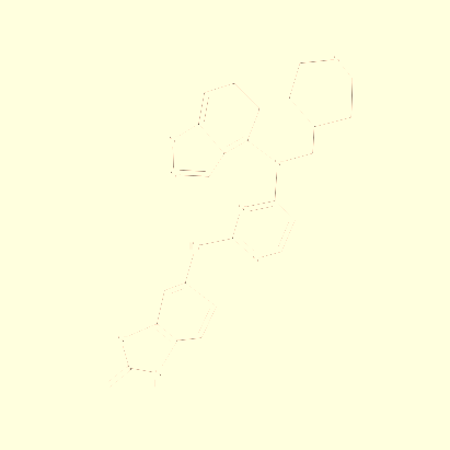 O=c1[nH]c2ccc(Nc3nccc(N(CC4CCNCC4)c4cccc5[nH]ncc45)n3)cc2[nH]1